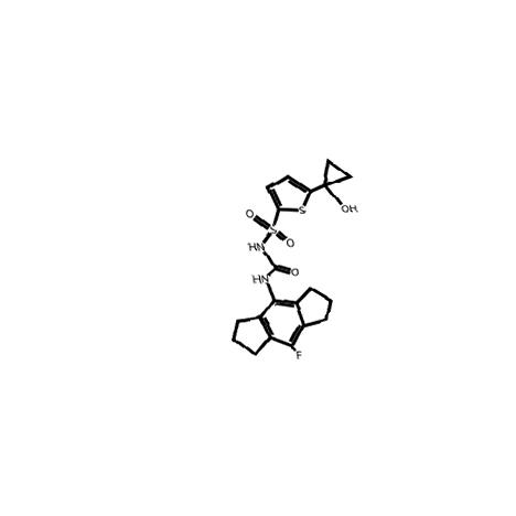 O=C(Nc1c2c(c(F)c3c1CCC3)CCC2)NS(=O)(=O)c1ccc(C2(O)CC2)s1